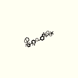 CC(C)(C)OC(=O)Cn1ncc2cc(COc3ccc(-c4ccnn4C4CCCCO4)nc3)ccc21